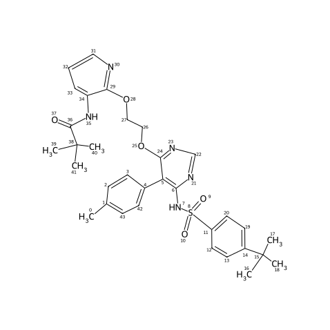 Cc1ccc(-c2c(NS(=O)(=O)c3ccc(C(C)(C)C)cc3)ncnc2OCCOc2ncccc2NC(=O)C(C)(C)C)cc1